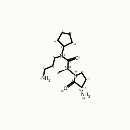 C[C@@H](C(=O)N(CCCN)C1CCCC1)N1CC[C@H](N)C1=O